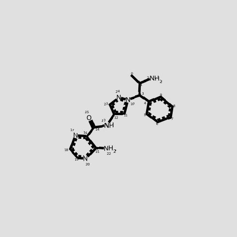 CC(N)C(c1ccccc1)n1cc(NC(=O)c2nccnc2N)cn1